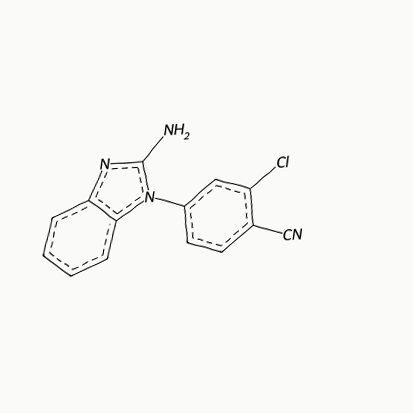 N#Cc1ccc(-n2c(N)nc3ccccc32)cc1Cl